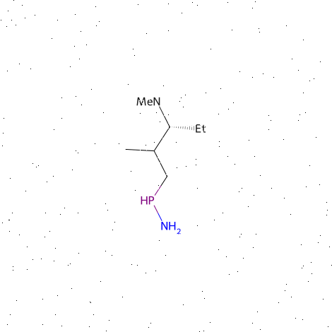 CC[C@@H](NC)C(C)CPN